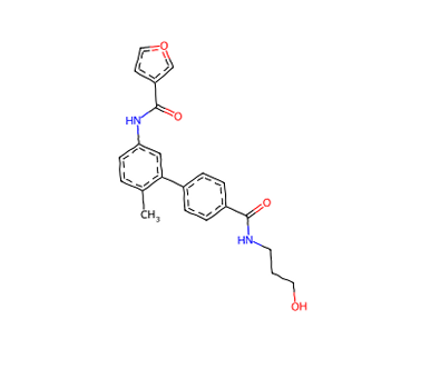 Cc1ccc(NC(=O)c2ccoc2)cc1-c1ccc(C(=O)NCCCO)cc1